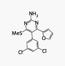 CSc1nc(N)nc(-c2ccco2)c1-c1cc(Cl)cc(Cl)c1